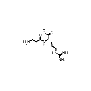 N=C(N)NCCC[C@H](NC(=O)CCN)C(=O)O